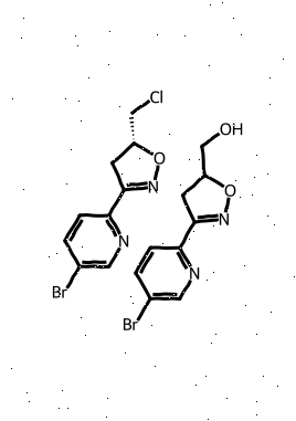 ClC[C@H]1CC(c2ccc(Br)cn2)=NO1.OCC1CC(c2ccc(Br)cn2)=NO1